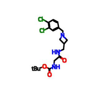 CC(C)(C)OC(=O)NCC(=O)NCC1CN(Cc2ccc(Cl)c(Cl)c2)C1